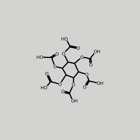 O=C(O)OC1C(OC(=O)O)C(OC(=O)O)C(OC(=O)O)C(OC(=O)O)C1OC(=O)O